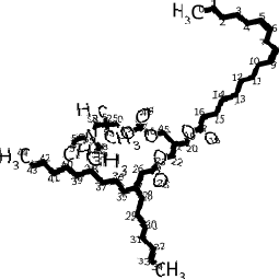 CCCCC/C=C\C/C=C\CCCCCCCC(=O)OCC(COC(=O)/C=C(\CCCCCCC)CCCCCCCCCC)COC(=O)OCC(C)(C)CN(CC)CC